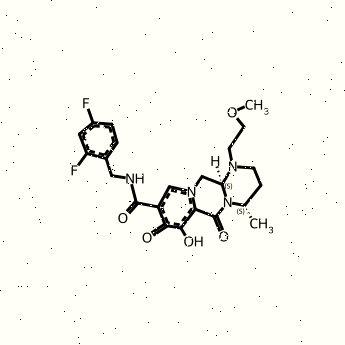 COCCN1CC[C@H](C)N2C(=O)c3c(O)c(=O)c(C(=O)NCc4ccc(F)cc4F)cn3C[C@@H]12